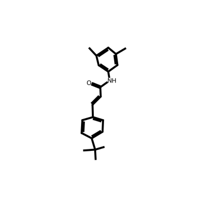 Cc1cc(C)cc(NC(=O)/C=C/c2ccc(C(C)(C)C)cc2)c1